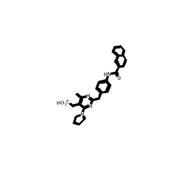 Cc1nc(Cc2ccc(NC(=O)c3ccc4ccccc4c3)cc2)nc(N2CCCC2)c1CC(=O)O